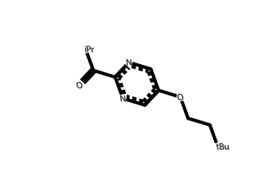 CC(C)C(=O)c1ncc(OCCC(C)(C)C)cn1